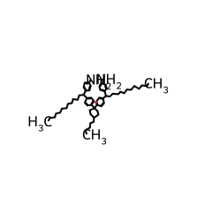 CCCCCCCCCCCCC(c1ccc(N)cc1)c1ccc(C2(c3ccc(C(CCCCCCCCCCCC)c4ccc(N)cc4)cc3)CCC(CCCCC)CC2)cc1